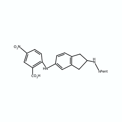 CCCCCNC1Cc2ccc(Nc3ccc([N+](=O)[O-])cc3C(=O)O)cc2C1